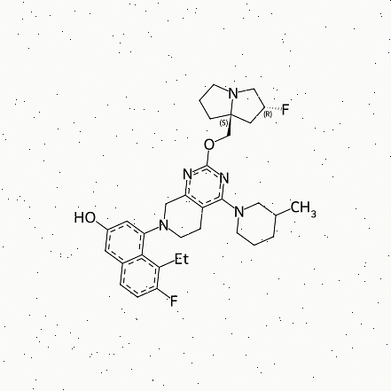 CCc1c(F)ccc2cc(O)cc(N3CCc4c(nc(OC[C@@]56CCCN5C[C@H](F)C6)nc4N4CCCC(C)C4)C3)c12